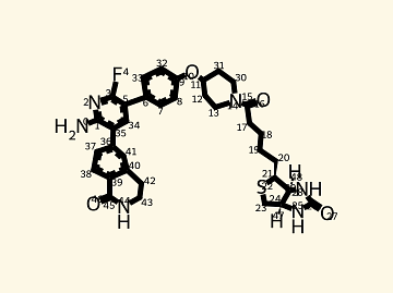 Nc1nc(F)c(-c2ccc(OC3CCN(C(=O)CCCC[C@@H]4SC[C@@H]5NC(=O)N[C@@H]54)CC3)cc2)cc1-c1ccc2c(c1)CCNC2=O